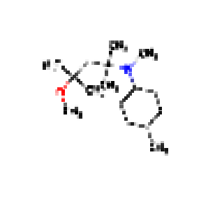 COC(C)(C)CC(C)(C)N(C)C1CCC(C)CC1